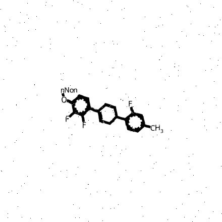 CCCCCCCCCOc1ccc(C2=CCC(c3ccc(C)cc3F)CC2)c(F)c1F